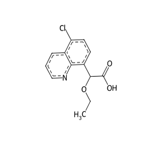 CCOC(C(=O)O)c1ccc(Cl)c2cccnc12